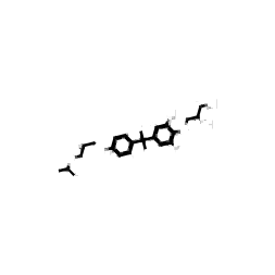 CC(C)OC[C@H](C)COc1ccc(C(C)(C)c2cc(Cl)c(OC[C@@H](O)CCl)c(Cl)c2)cc1